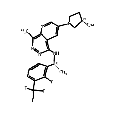 Cc1nnc(N[C@H](C)c2cccc(C(F)(F)F)c2F)c2cc(N3CC[C@H](O)C3)cnc12